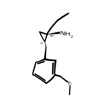 CC[C@@]1(N)C[C@@H]1c1cccc(OC)c1